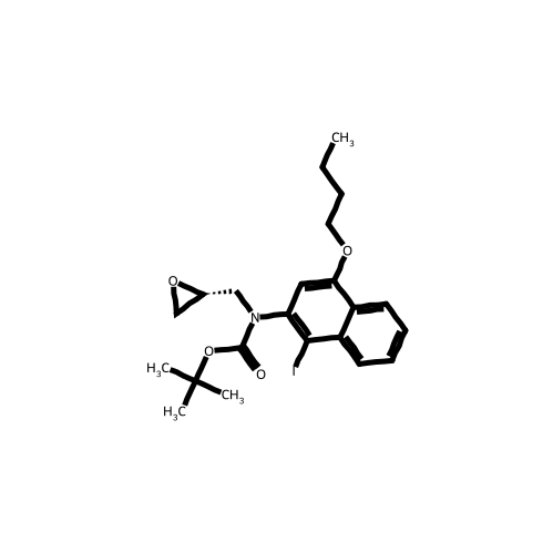 CCCCOc1cc(N(C[C@@H]2CO2)C(=O)OC(C)(C)C)c(I)c2ccccc12